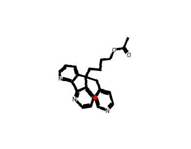 CC(=O)OCCCCC1(Cc2ccncc2)c2cccnc2-c2ncccc21